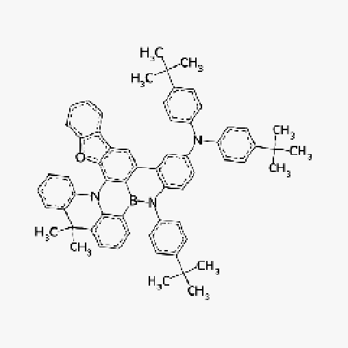 CC(C)(C)c1ccc(N2B3c4cccc5c4N(c4ccccc4C5(C)C)c4c3c(cc3c4oc4ccccc43)-c3cc(N(c4ccc(C(C)(C)C)cc4)c4ccc(C(C)(C)C)cc4)ccc32)cc1